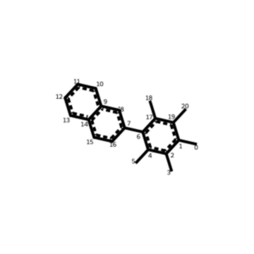 Cc1c(C)c(C)c(-c2[c]c3ccccc3cc2)c(C)c1C